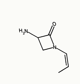 C/C=C\N1CC(N)C1=O